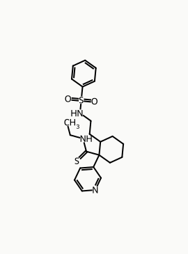 CCNC(=S)C1(c2cccnc2)CCCCC1CCNS(=O)(=O)c1ccccc1